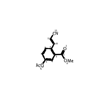 COC(=O)c1cc(OC(C)=O)ccc1C=CC#N